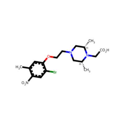 Cc1cc(OCCN2C[C@@H](C)N(CC(=O)O)[C@@H](C)C2)c(Br)cc1[N+](=O)[O-]